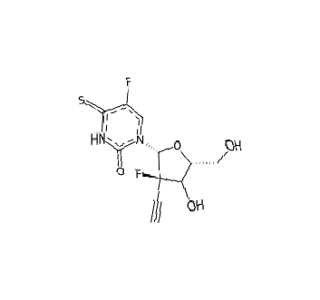 C#C[C@@]1(F)C(O)[C@@H](CO)O[C@H]1n1cc(F)c(=S)[nH]c1=O